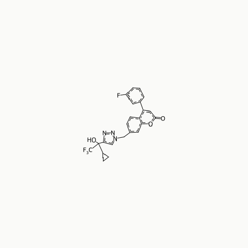 O=c1cc(-c2cccc(F)c2)c2ccc(Cn3cc(C(O)(C4CC4)C(F)(F)F)nn3)cc2o1